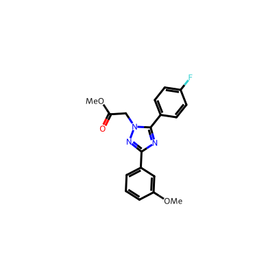 COC(=O)Cn1nc(-c2cccc(OC)c2)nc1-c1ccc(F)cc1